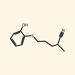 CC(C#N)CCCSc1ccccc1O